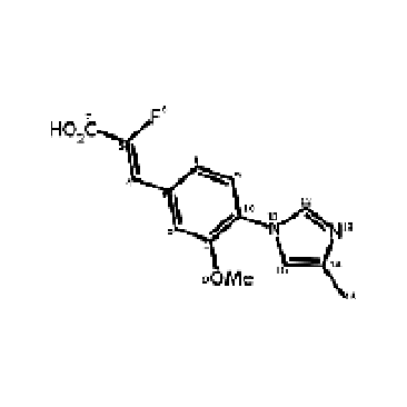 COc1cc(/C=C(\F)C(=O)O)ccc1-n1cnc(C)c1